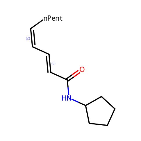 CCCCC/C=C\C=C\C(=O)NC1CCCC1